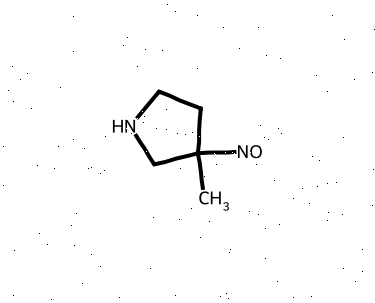 CC1(N=O)CCNC1